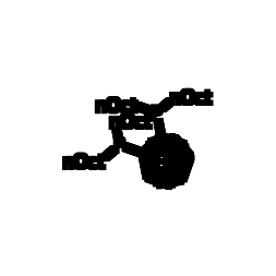 CCCCCCCCP(CCCCCCCC)[C]12[CH]3[CH]4[CH]5[C]1(P(CCCCCCCC)CCCCCCCC)[Hf]43521678[CH]2[CH]1[CH]6[CH]7[CH]28